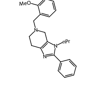 CCCn1c(-c2ccccc2)nc2c1CN(Cc1ccccc1OC)CC2